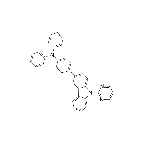 c1ccc(N(c2ccccc2)c2ccc(-c3ccc4c(c3)c3ccccc3n4-c3ncccn3)cc2)cc1